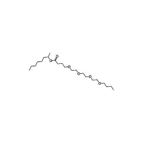 CCCCCCC(C)OC(=O)CCCOCCOCCOCCOCCCC